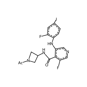 CC(=O)N1CC(NC(=O)c2c(F)cncc2Nc2ccc(I)cc2F)C1